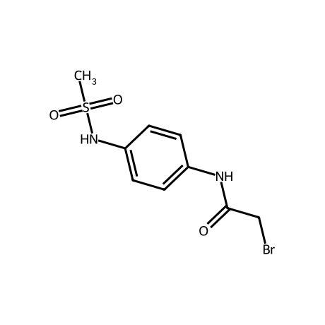 CS(=O)(=O)Nc1ccc(NC(=O)CBr)cc1